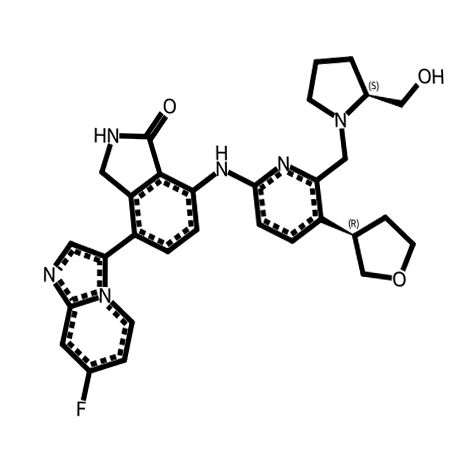 O=C1NCc2c(-c3cnc4cc(F)ccn34)ccc(Nc3ccc([C@H]4CCOC4)c(CN4CCC[C@H]4CO)n3)c21